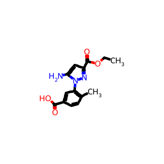 CCOC(=O)c1cc(N)n(-c2cc(C(=O)O)ccc2C)n1